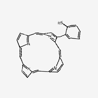 Sc1ccccc1C1=CC2=CC3=NC(=CC4=NC(=CC5=NC(=CC1=N2)C=C5)C=C4)C=C3